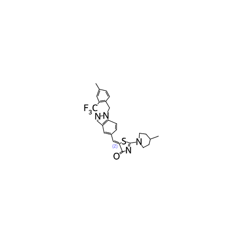 Cc1ccc(Cn2ncc3cc(/C=C4\SC(N5CCC(C)CC5)=NC4=O)ccc32)c(C(F)(F)F)c1